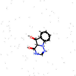 O=C1NC=NN2c3ccccc3C(=O)C12